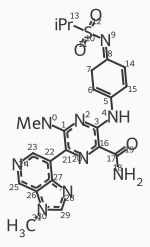 CNc1nc(NC2=CCC(=NS(=O)(=O)C(C)C)C=C2)c(C(N)=O)nc1-c1cncc2c1ncn2C